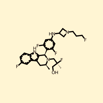 C[C@H]1Cc2c([nH]c3ccc(F)cc23)[C@@H](c2c(F)cc(NC3CN(CCCF)C3)cc2F)N1C[C@@](C)(F)CO